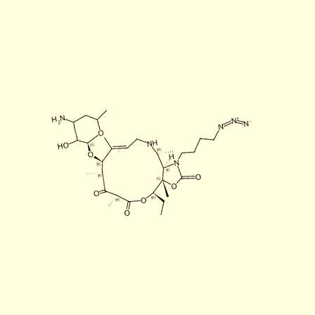 CC[C@H]1OC(=O)[C@H](C)C(=O)[C@H](C)[C@@H](O[C@@H]2OC(C)CC(N)C2O)/C(C)=C/CN[C@H](C)[C@H]2N(CCCCN=[N+]=[N-])C(=O)O[C@]12C